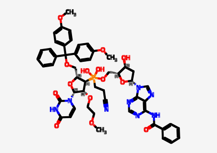 COCCO[C@H]1[C@H](P(O)(O)(CCC#N)OC[C@H]2O[C@@H](n3cnc4c(NC(=O)c5ccccc5)ncnc43)C[C@@H]2O)[C@@H](COC(c2ccccc2)(c2ccc(OC)cc2)c2ccc(OC)cc2)O[C@H]1n1ccc(=O)[nH]c1=O